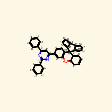 C1=CCC2Oc3cc(-c4cc(-c5ccccc5)nc(-c5ccccc5)n4)ccc3C3(C2=C1)c1ccccc1-c1ccccc13